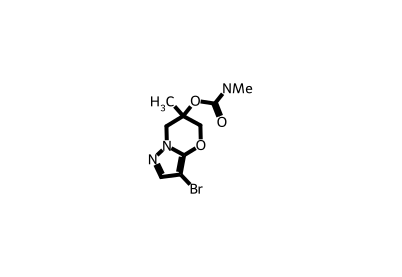 CNC(=O)OC1(C)COc2c(Br)cnn2C1